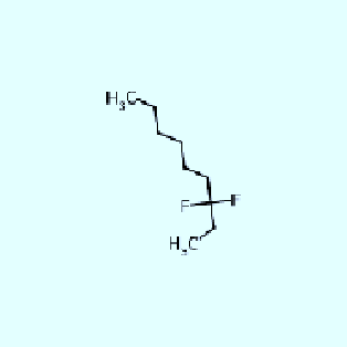 CCCCCCC(F)(F)CC